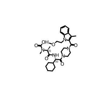 COCCn1c(C(=O)N2CCN(C(=O)[C@@H](NC(=O)[C@H](C)N(C)C(=O)O)C3CCCCC3)CC2)c(C)c2ccccc21